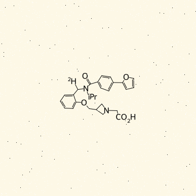 [2H]C(c1ccccc1OCC1CN(CC(=O)O)C1)N(C(=O)c1ccc(-c2ccco2)cc1)C(C)C